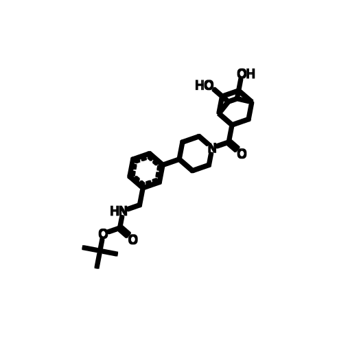 CC(C)(C)OC(=O)NCc1cccc(C2CCN(C(=O)C3CC4CCC3C(O)C4O)CC2)c1